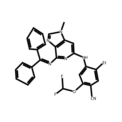 CCc1cc(C#N)c(OC(F)F)cc1Nc1cc2c(ncn2C)c(N=C(c2ccccc2)c2ccccc2)n1